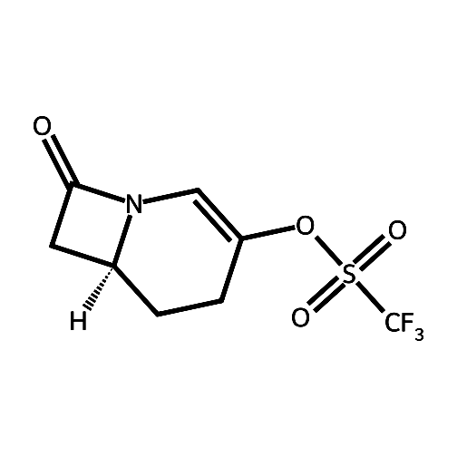 O=C1C[C@@H]2CCC(OS(=O)(=O)C(F)(F)F)=CN12